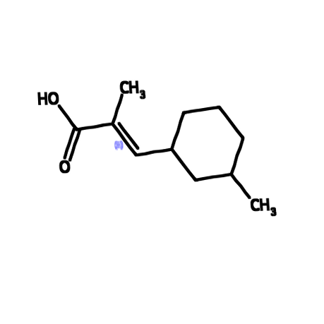 C/C(=C\C1CCCC(C)C1)C(=O)O